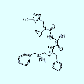 CC(C)c1nc(CN(C(=O)N[C@H](C(=O)N[C@H](CC[C@@H](N)Cc2ccccc2)Cc2ccccc2)C(C)C)C2CC2)cs1